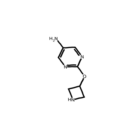 Nc1cnc(OC2CNC2)nc1